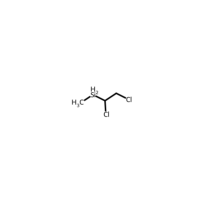 C[SiH2]C(Cl)CCl